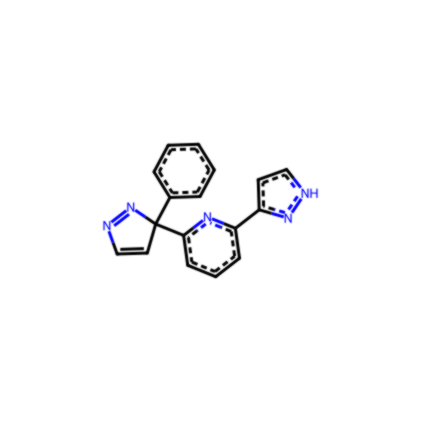 C1=CC(c2ccccc2)(c2cccc(-c3cc[nH]n3)n2)N=N1